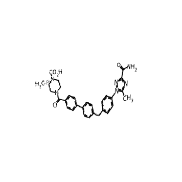 Cc1nc(C(N)=O)nn1-c1ccc(Cc2ccc(-c3ccc(C(=O)N4CCN(C(=O)O)[C@@H](C)C4)cc3)cc2)cc1